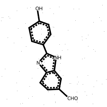 O=Cc1ccc2nc(-c3ccc(O)cc3)[nH]c2c1